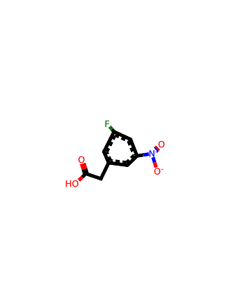 O=C(O)Cc1cc(F)cc([N+](=O)[O-])c1